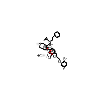 CC(C)(OC(=O)N1C2CNCC1C(C(=O)N(CCc1ccccc1)C1CC1)=C(c1ccc(CCCOc3cc(F)ccc3Br)cc1)C2)C(Cl)(Cl)Cl.Cl